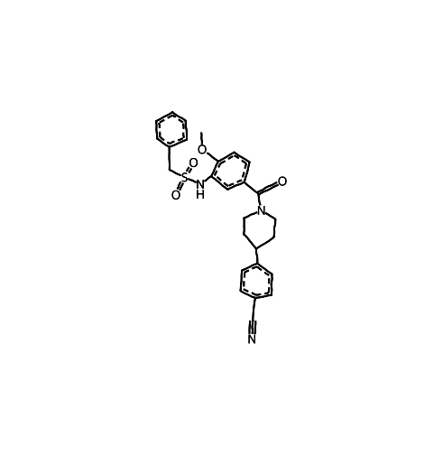 COc1ccc(C(=O)N2CCC(c3ccc(C#N)cc3)CC2)cc1NS(=O)(=O)Cc1ccccc1